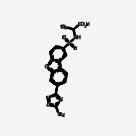 CC(C)(C)c1nc(-c2ccc3c(c2)oc2ccc(S(=O)(=O)N[C@H](C(=O)O)C(C)(C)C)cc23)no1